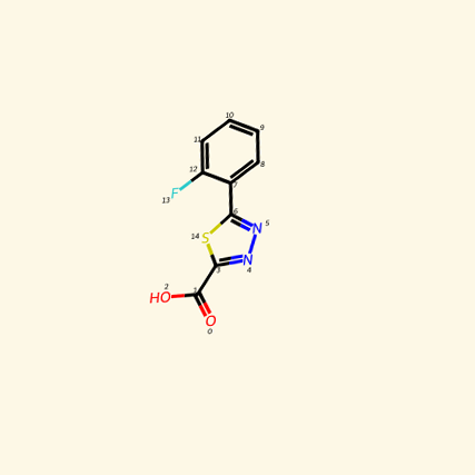 O=C(O)c1nnc(-c2ccccc2F)s1